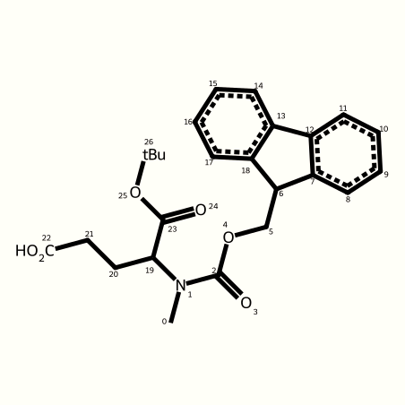 CN(C(=O)OCC1c2ccccc2-c2ccccc21)C(CCC(=O)O)C(=O)OC(C)(C)C